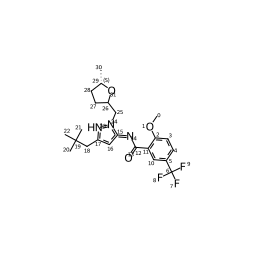 COc1ccc(C(F)(F)F)cc1C(=O)N=c1cc(CC(C)(C)C)[nH]n1CC1CC[C@H](C)O1